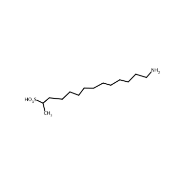 CC(CCCCCCCCCCCCN)S(=O)(=O)O